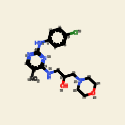 O=[N+]([O-])c1cnc(Nc2ccc(Cl)cc2)nc1NCC(O)CN1CCOCC1